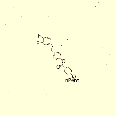 CCCCCO[C@H]1CC[C@H](C(=O)Oc2ccc(CCc3ccc(F)c(F)c3)cc2)CC1